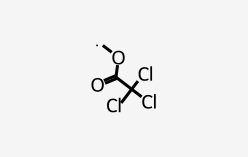 [CH2]OC(=O)C(Cl)(Cl)Cl